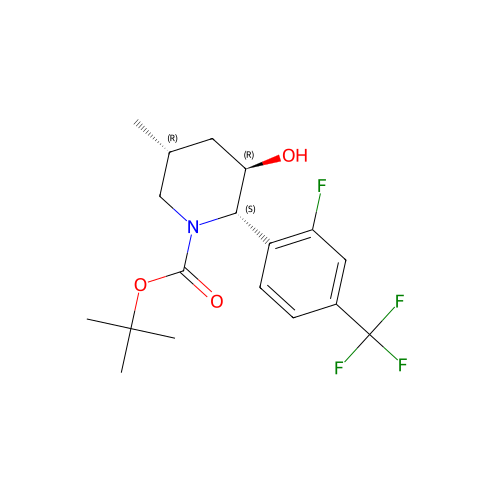 C[C@@H]1C[C@@H](O)[C@H](c2ccc(C(F)(F)F)cc2F)N(C(=O)OC(C)(C)C)C1